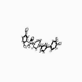 O=S(=O)(c1cc(Cl)ccc1Cl)N1CCN(c2nc(-c3ccc(Cl)c(F)c3)cs2)CC1